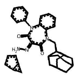 NN=c1c(=O)n(CC2C3CC4CC(C3)CC2C4)c2ccccc2n(-c2ccccc2)c1=O.c1cc2cc-2c1